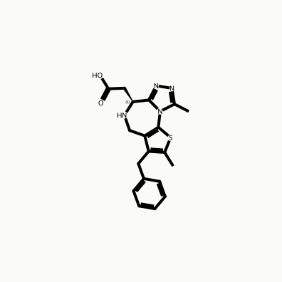 Cc1sc2c(c1Cc1ccccc1)CN[C@@H](CC(=O)O)c1nnc(C)n1-2